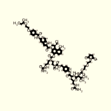 CCC(C)OCCOc1ccc(C(=O)Nc2cc3cc(C(=O)N4C[C@@H](CCl)c5c4cc(OC(=O)N(CCCNC(N)=O)CCN(C)C(=O)OCc4ccc(NC(=O)[C@H](CCCNC(N)=O)NC(=O)[C@@H](NC(=O)OCCOCCN6C(=O)C=CC6=O)C(C)C)cc4)c4cccc(C)c54)[nH]c3cn2)cc1